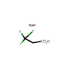 O=C(O)CC(F)(F)F.[NaH]